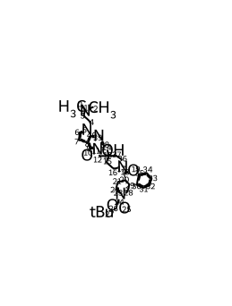 CN(C)CCn1ccc2c(=O)n(CC3(O)CCN(C(=O)[C@@H]4CCN(C(=O)OC(C)(C)C)C[C@H]4c4ccccc4)CC3)cnc21